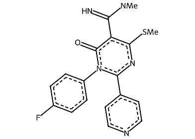 CNC(=N)c1c(SC)nc(-c2ccncc2)n(-c2ccc(F)cc2)c1=O